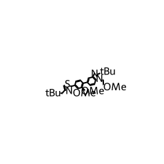 COCCn1c(C(C)(C)C)nc2cc(-c3ccc(-c4nc(CC(C)(C)C)cs4)c(OC)c3OC)ccc21